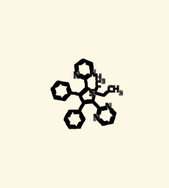 CC[Si]1(C)C(c2ncccn2)=C(c2ccccc2)C(c2ccccc2)=C1c1ncccn1